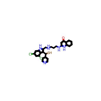 O=c1cc(NCCCNCc2[nH]c3cc(Cl)cc(Cl)c3c2C(S)c2ccncc2)[nH]c2ccccc12